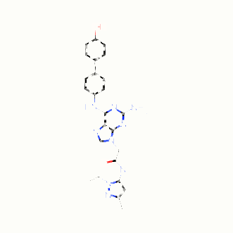 CCn1nc(C)cc1NC(=O)Cn1cnc2c(Nc3ccc(-c4ccc(O)cc4)cc3)nc(N)nc21